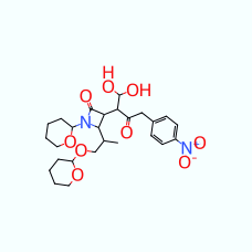 CC(COC1CCCCO1)C1C(C(C(=O)Cc2ccc([N+](=O)[O-])cc2)C(O)O)C(=O)N1C1CCCCO1